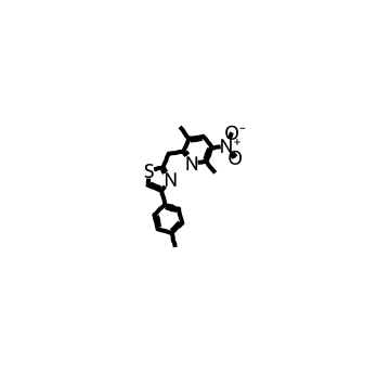 Cc1ccc(-c2csc(Cc3nc(C)c([N+](=O)[O-])cc3C)n2)cc1